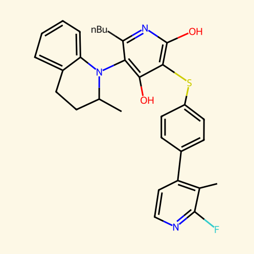 CCCCc1nc(O)c(Sc2ccc(-c3ccnc(F)c3C)cc2)c(O)c1N1c2ccccc2CCC1C